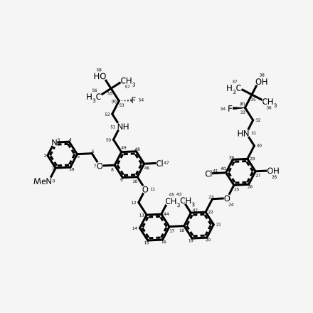 CNc1cncc(COc2cc(OCc3cccc(-c4cccc(COc5cc(O)c(CNC[C@@H](F)C(C)(C)O)cc5Cl)c4C)c3C)c(Cl)cc2CNC[C@@H](F)C(C)(C)O)c1